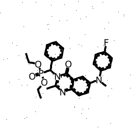 CCOP(=O)(OCC)C(c1ccccc1)n1c(C)nc2ccc(N(C)c3ccc(F)cc3)cc2c1=O